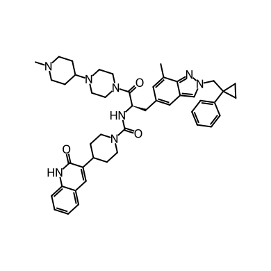 Cc1cc(C[C@@H](NC(=O)N2CCC(c3cc4ccccc4[nH]c3=O)CC2)C(=O)N2CCN(C3CCN(C)CC3)CC2)cc2cn(CC3(c4ccccc4)CC3)nc12